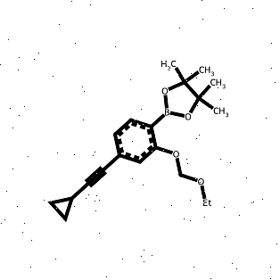 CCOCOc1cc(C#CC2CC2)ccc1B1OC(C)(C)C(C)(C)O1